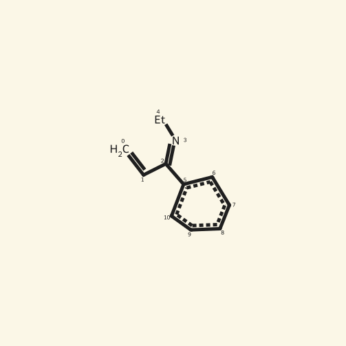 C=C/C(=N\CC)c1ccccc1